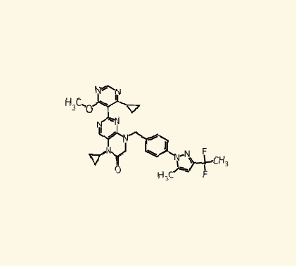 COc1ncnc(C2CC2)c1-c1ncc2c(n1)N(Cc1ccc(-n3nc(C(C)(F)F)cc3C)cc1)CC(=O)N2C1CC1